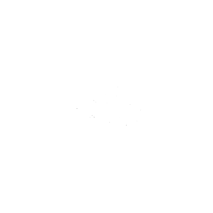 C=C.CCCCc1nc(Cc2ccccc2)c[nH]1.Cl